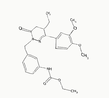 CCOC(=O)Nc1cccc(CN2N=C(c3ccc(OC)c(OC)c3)C(CC)CC2=O)c1